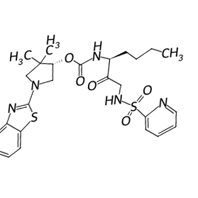 CCCC[C@H](NC(=O)O[C@@H]1CN(c2nc3ccccc3s2)CC1(C)C)C(=O)CNS(=O)(=O)c1ccccn1